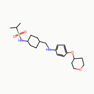 CC(C)S(=O)(=O)NC1CCC(CNc2ccc(OC3CCOCC3)cc2)CC1